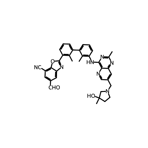 Cc1nc(Nc2cccc(-c3cccc(-c4nc5cc(C=O)cc(C#N)c5o4)c3C)c2C)c2ncc(CN3CCC(C)(O)C3)cc2n1